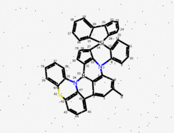 Cc1cc2c3c(c1)N1c4ccccc4[Si]4(c5ccccc5-c5ccccc54)c4cccc(c41)B3N1c3ccccc3Sc3cccc-2c31